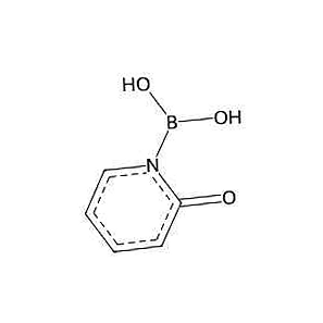 O=c1ccccn1B(O)O